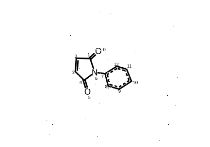 O=C1C=CC(=O)N1c1[c]cccc1